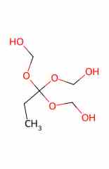 CCC(OCO)(OCO)OCO